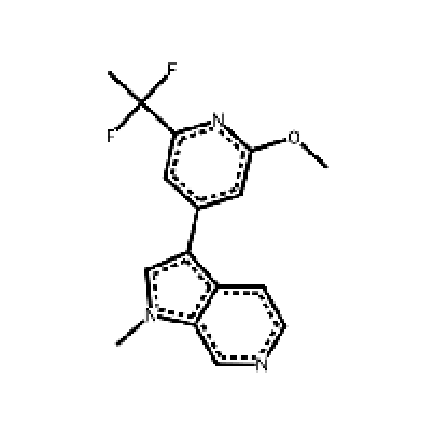 COc1cc(-c2cn(C)c3cnccc23)cc(C(C)(F)F)n1